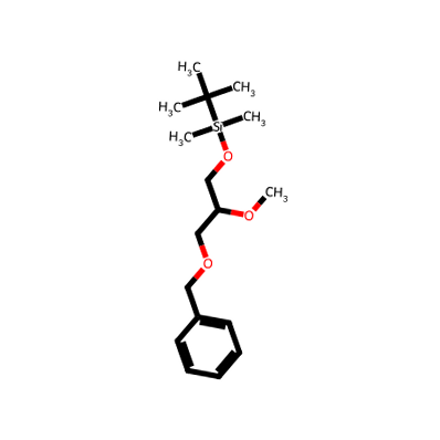 COC(COCc1ccccc1)CO[Si](C)(C)C(C)(C)C